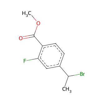 COC(=O)c1ccc(C(C)Br)cc1F